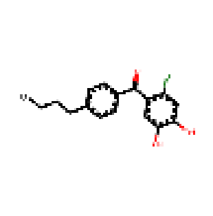 CCCCc1ccc(C(=O)c2cc(O)c(O)cc2Cl)cc1